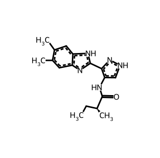 CC[C@H](C)C(=O)Nc1c[nH]nc1-c1nc2cc(C)c(C)cc2[nH]1